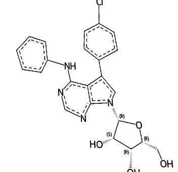 OC[C@H]1O[C@@H](n2cc(-c3ccc(Cl)cc3)c3c(Nc4ccccc4)ncnc32)[C@@H](O)[C@H]1O